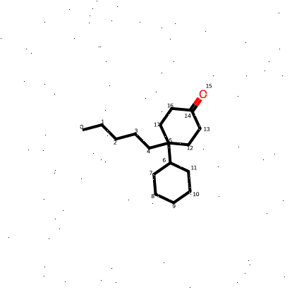 CCCCCC1(C2CCCCC2)CCC(=O)CC1